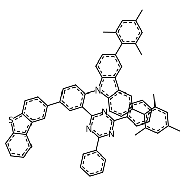 Cc1cc(C)c(-c2ccc3c(c2)c2cc(-c4c(C)cc(C)cc4C)ccc2n3-c2ccc(-c3ccc4sc5ccccc5c4c3)cc2-c2nc(-c3ccccc3)nc(-c3ccccc3)n2)c(C)c1